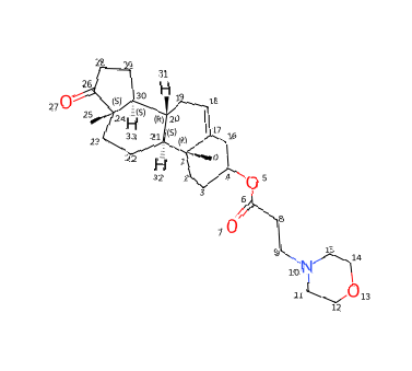 C[C@]12CCC(OC(=O)CCN3CCOCC3)CC1=CC[C@@H]1[C@@H]2CC[C@]2(C)C(=O)CC[C@@H]12